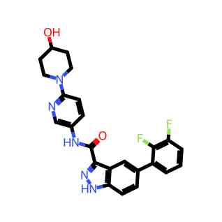 O=C(Nc1ccc(N2CCC(O)CC2)nc1)c1n[nH]c2ccc(-c3cccc(F)c3F)cc12